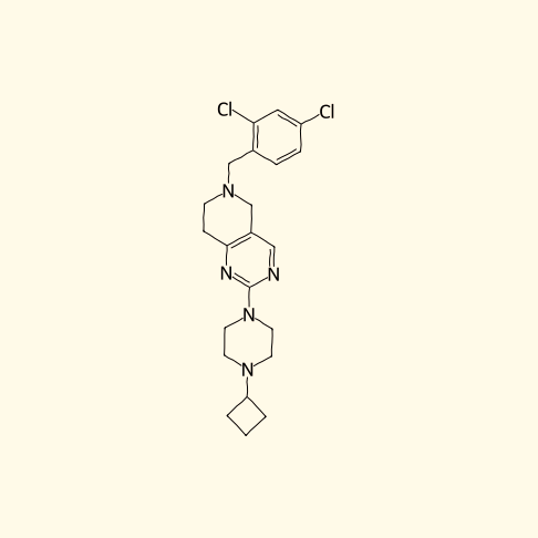 Clc1ccc(CN2CCc3nc(N4CCN(C5CCC5)CC4)ncc3C2)c(Cl)c1